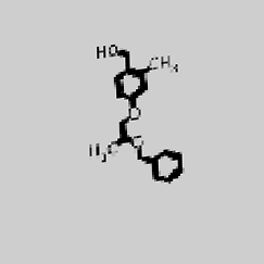 Cc1cc(OCC(C)OCc2ccccc2)ccc1CO